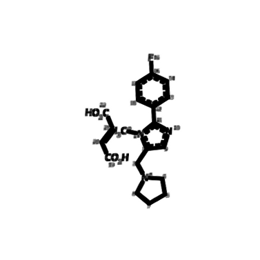 Cn1c(CN2CCCC2)cnc1-c1ccc(F)cc1.O=C(O)/C=C/C(=O)O